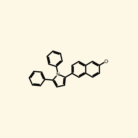 [O]c1ccc2cc(-c3ccc(-c4ccccc4)n3-c3ccccc3)ccc2c1